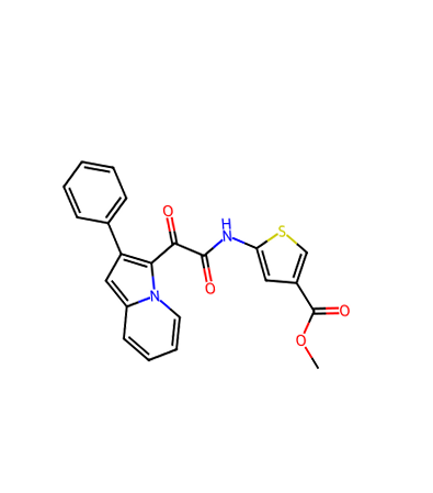 COC(=O)c1csc(NC(=O)C(=O)c2c(-c3ccccc3)cc3ccccn23)c1